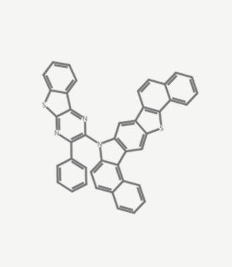 c1ccc(-c2nc3sc4ccccc4c3nc2-n2c3cc4c(cc3c3c5ccccc5ccc32)sc2c3ccccc3ccc42)cc1